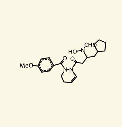 COc1ccc(C(=O)N2CCC=CN2C(=O)CC(CC2CCCC2)N(O)C=O)cc1